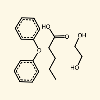 CCCCC(=O)O.OCCO.c1ccc(Oc2ccccc2)cc1